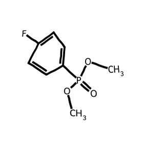 COP(=O)(OC)c1ccc(F)cc1